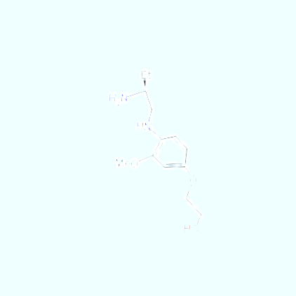 CC[C@H](N)CNc1ccc(OCCO)cc1OC